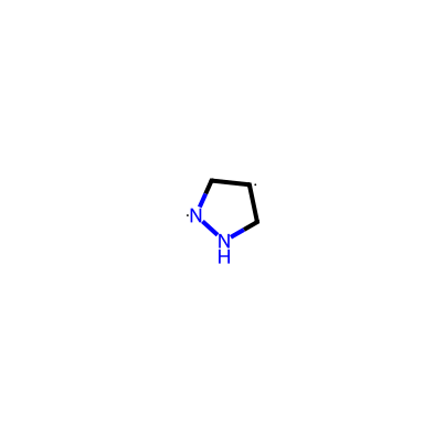 [CH]1C[N]NC1